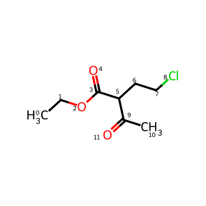 CCOC(=O)C(CCCl)C(C)=O